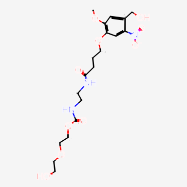 COc1cc(CO)c([N+](=O)[O-])cc1OCCCC(=O)NCCNC(=O)OCCOCCO